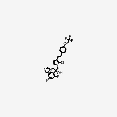 OC(Cn1cncn1)(Cn1ccc(C=Cc2ccc(OCC(F)(F)F)cc2)c1Cl)c1ccc(F)cc1F